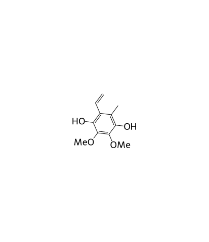 C=Cc1c(C)c(O)c(OC)c(OC)c1O